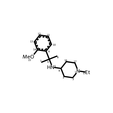 CCN1CCC(NC(C)(C)c2ccccc2OC)CC1